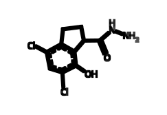 NNC(=O)C1CCc2c(Cl)cc(Cl)c(O)c21